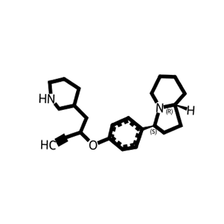 C#CC(CC1CCCNC1)Oc1ccc([C@@H]2CC[C@H]3CCCCN32)cc1